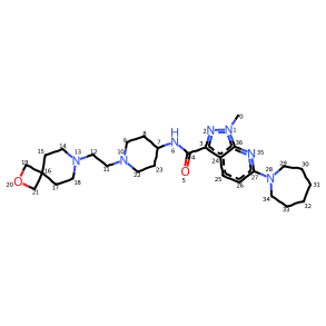 Cn1nc(C(=O)NC2CCN(CCN3CCC4(CC3)COC4)CC2)c2ccc(N3CCCCCC3)nc21